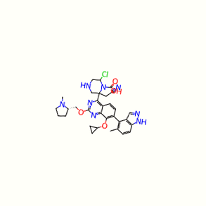 Cc1ccc2[nH]ncc2c1-c1ccc2c(C3(CC#N)CNCC(Cl)N3C(=O)O)nc(OC[C@@H]3CCCN3C)nc2c1OC1CC1